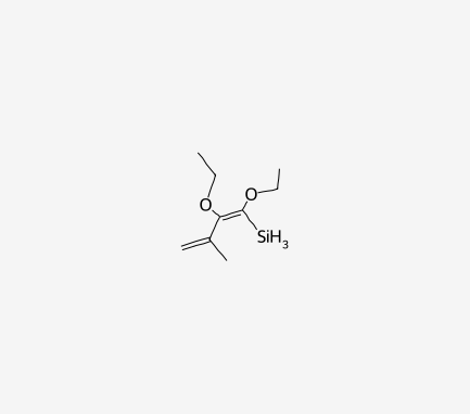 C=C(C)C(OCC)=C([SiH3])OCC